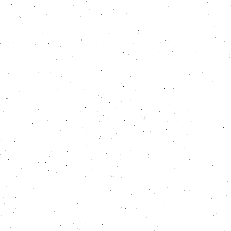 CCCN(CC)CCc1c[nH]c2cccc(O)c12